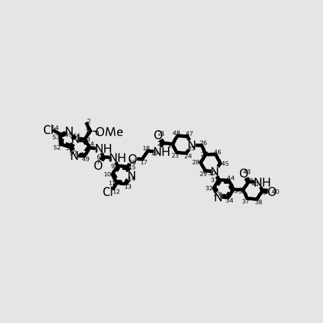 CO[C@@H](C)c1c(NC(=O)Nc2cc(Cl)cnc2OCCNC(=O)C2CCN(CC3CCN(c4cncc(C5CCC(=O)NC5=O)c4)CC3)CC2)cnc2cc(Cl)nn12